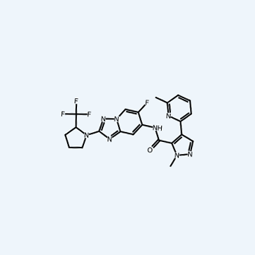 Cc1cccc(-c2cnn(C)c2C(=O)Nc2cc3nc(N4CCCC4C(F)(F)F)nn3cc2F)n1